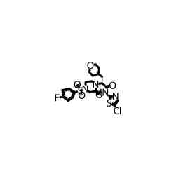 O=C(Nc1ncc(Cl)s1)[C@@H](CC1CCOCC1)N1CCN(S(=O)(=O)c2ccc(F)cc2)CC1=O